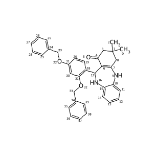 CC1(C)CC(=O)C2=C(C1)Nc1ccccc1NC2c1ccc(OCc2ccccc2)cc1OCc1ccccc1